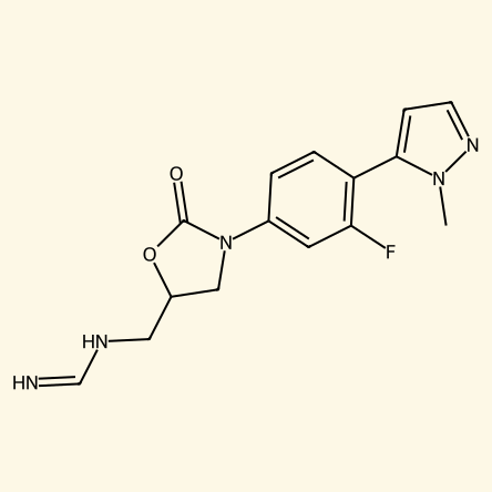 Cn1nccc1-c1ccc(N2CC(CNC=N)OC2=O)cc1F